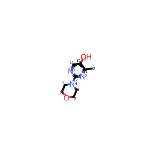 Cc1nc(N2CCOCC2)ncc1O